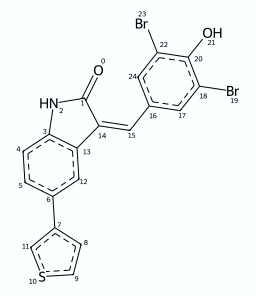 O=C1Nc2ccc(-c3ccsc3)cc2/C1=C/c1cc(Br)c(O)c(Br)c1